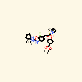 COC(=O)C1CCC(OC(SC)(C(=O)Cc2ccc3nc(Nc4cc(F)ccc4C)oc3c2F)N2CCCC2)CC1